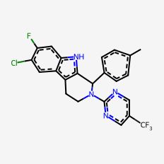 Cc1ccc(C2c3[nH]c4cc(F)c(Cl)cc4c3CCN2c2ncc(C(F)(F)F)cn2)cc1